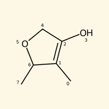 CC1=C(O)COC1C